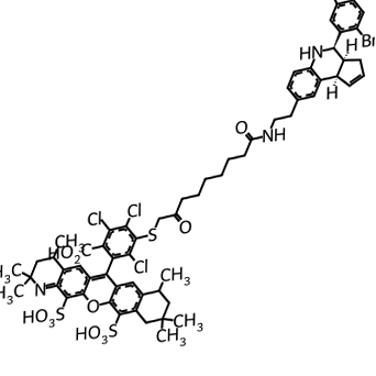 CC1CC(C)(C)Cc2c1cc1c(c2S(=O)(=O)O)Oc2c(S(=O)(=O)O)c3c(cc2=C1c1c(Cl)c(SCC(=O)CCCCCCC(=O)NCCc2ccc4c(c2)[C@@H]2C=CC[C@@H]2[C@H](c2cc5c(cc2Br)OCO5)N4)c(Cl)c(Cl)c1C(=O)O)C(C)CC(C)(C)N=3